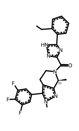 CCc1ccccc1-c1nc(C(=O)N2CCc3c(nn(C)c3-c3cc(F)c(F)c(F)c3)[C@@H]2C)n[nH]1